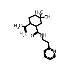 C=C(C)C1CCC(C)(C)CC1C(=O)NCCc1ccccn1